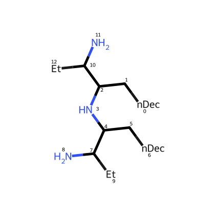 CCCCCCCCCCCC(NC(CCCCCCCCCCC)C(N)CC)C(N)CC